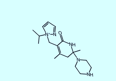 CC1=C(C[N+]2(C(C)C)C=CC=N2)C(=O)NC(C)(N2CCNCC2)C1